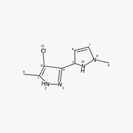 Cc1[nH]nc(C2C=CN(C)N2)c1Cl